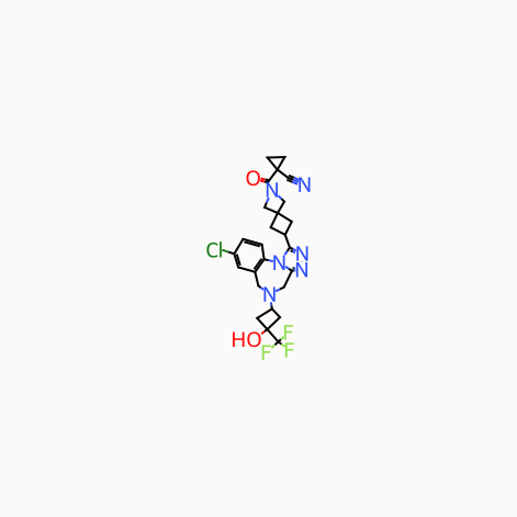 N#CC1(C(=O)N2CC3(CC(c4nnc5n4-c4ccc(Cl)cc4CN(C4CC(O)(C(F)(F)F)C4)C5)C3)C2)CC1